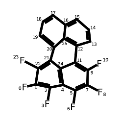 Fc1c(F)c2c(F)c(F)c(F)c3c4cccc5cccc(c(c1F)c23)c54